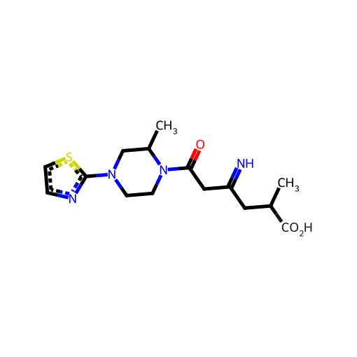 CC(CC(=N)CC(=O)N1CCN(c2nccs2)CC1C)C(=O)O